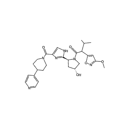 COc1cc(C(C(=O)N2C[C@H](O)C[C@H]2c2nc(C(=O)N3CCC(c4ccncc4)CC3)c[nH]2)C(C)C)on1